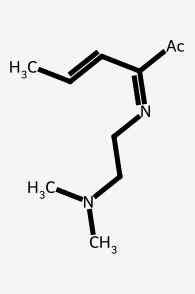 CC=CC(=NCCN(C)C)C(C)=O